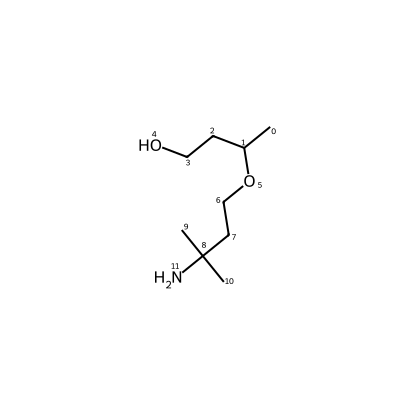 CC(CCO)OCCC(C)(C)N